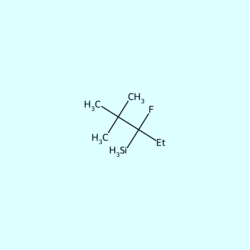 CCC(F)([SiH3])C(C)(C)C